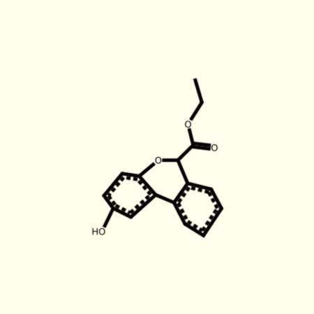 CCOC(=O)C1Oc2ccc(O)cc2-c2ccccc21